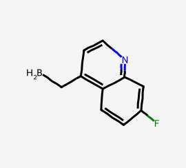 BCc1ccnc2cc(F)ccc12